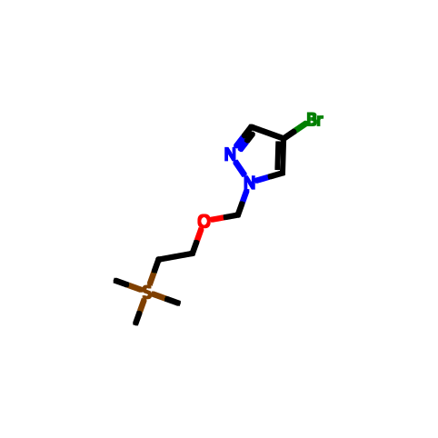 CS(C)(C)CCOCn1cc(Br)cn1